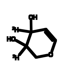 [2H]C1(O)C=COCC1([2H])O